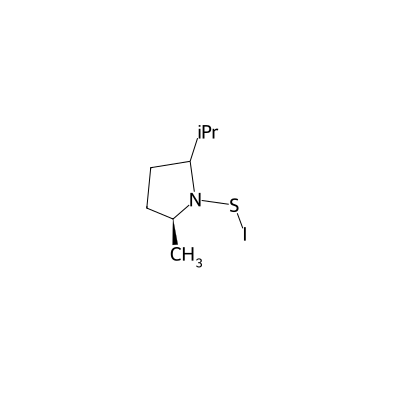 CC(C)C1CC[C@H](C)N1SI